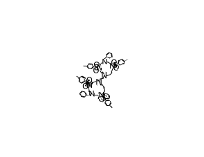 Cc1ccc(S(=O)(=O)N2CCCCN(CCN3CCCCN(S(=O)(=O)c4ccc(C)cc4)CCN(Cc4ccccc4)CCN(S(=O)(=O)c4ccc(C)cc4)CC3)CCN(S(=O)(=O)c3ccc(C)cc3)CCN(Cc3ccccc3)CC2)cc1